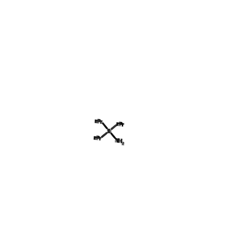 CCC[Si](N)(CCC)CCC